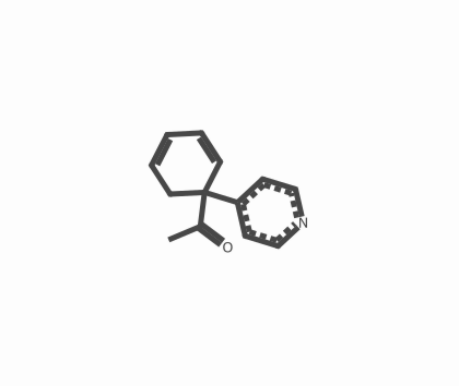 CC(=O)C1(c2ccncc2)C=CC=CC1